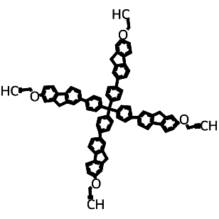 C#CCOc1ccc2c(c1)Cc1cc(-c3ccc(C(c4ccc(-c5ccc6c(c5)Cc5cc(OCC#C)ccc5-6)cc4)(c4ccc(-c5ccc6c(c5)Cc5cc(OCC#C)ccc5-6)cc4)c4ccc(-c5ccc6c(c5)Cc5cc(OCC#C)ccc5-6)cc4)cc3)ccc1-2